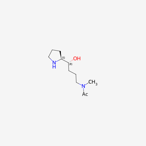 CC(=O)N(C)CCC[C@@H](O)[C@@H]1CCCN1